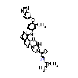 Cc1cc(Nc2ncnc3cnc4c(c23)OC[C@@H]2CN(C(=O)/C=C/CN(C)C)CCN42)ccc1Oc1ccn2ncnc2c1